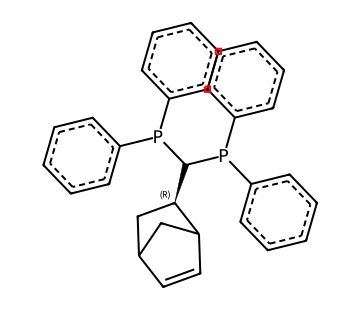 C1=CC2CC1C[C@H]2C(P(c1ccccc1)c1ccccc1)P(c1ccccc1)c1ccccc1